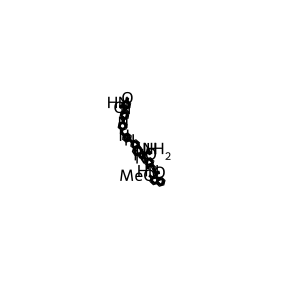 COc1ccc2ccccc2c1C(=O)NCc1ccc(-c2nn3c(c2C(N)=O)Nc2ccc(N4CCN(CC5CCN(c6ccc(N7CCC(=O)NC7=O)cc6)CC5)CC4)cc2CC3)cc1C